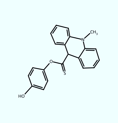 CN1c2ccccc2C(C(=S)Oc2ccc(O)cc2)c2ccccc21